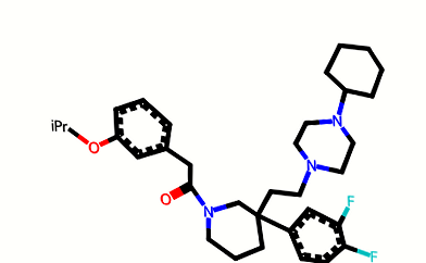 CC(C)Oc1cccc(CC(=O)N2CCCC(CCN3CCN(C4CCCCC4)CC3)(c3ccc(F)c(F)c3)C2)c1